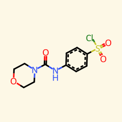 O=C(Nc1ccc(S(=O)(=O)Cl)cc1)N1CCOCC1